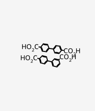 O=C(O)c1ccc(-c2ccc(C(=O)O)cc2)cc1.O=C(O)c1ccc(-c2cccc(C(=O)O)c2)cc1